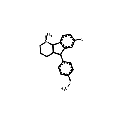 COc1ccc(C2c3cc(Cl)ccc3C3C2CCCN3C)cc1